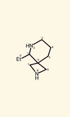 CCC1NCCCC12CNC2